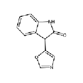 O=C1Nc2ccccc2C1c1cnco1